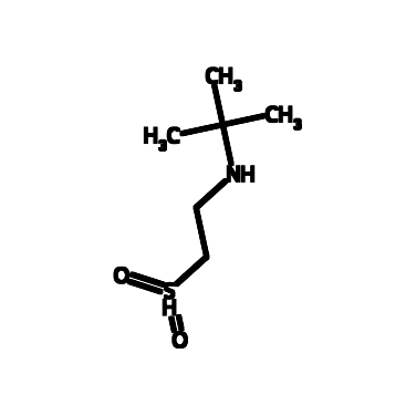 CC(C)(C)NCC[SH](=O)=O